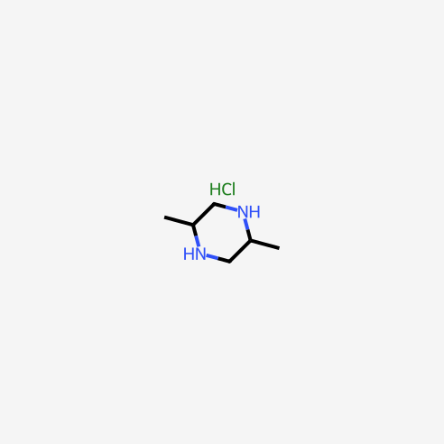 CC1CNC(C)CN1.Cl